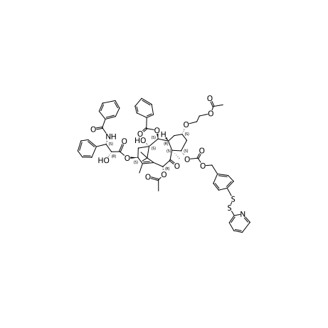 CC(=O)OCCO[C@@H]1C[C@H](OC(=O)OCc2ccc(SSc3ccccn3)cc2)[C@@]2(C)C(=O)[C@H](OC(C)=O)C3=C(C)[C@@H](OC(=O)[C@H](O)[C@@H](NC(=O)c4ccccc4)c4ccccc4)C[C@@](O)([C@@H](OC(=O)c4ccccc4)[C@@H]2C1)C3(C)C